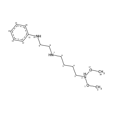 CO[SiH](CCCCNCCNc1ccccc1)OC